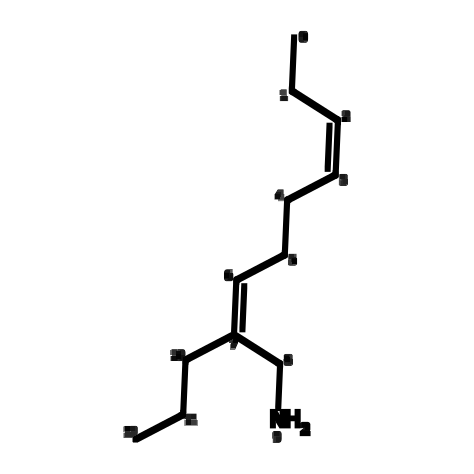 CC/C=C\CCC=C(CN)CCC